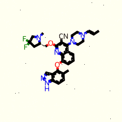 CC=CN1CCN(c2c(C#N)c(OC[C@@H]3CC(F)(F)CN3C)nc3c(Oc4c(C)ccc5[nH]ncc45)cccc23)CC1